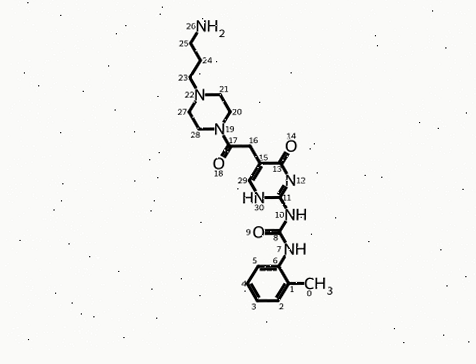 Cc1ccccc1NC(=O)Nc1nc(=O)c(CC(=O)N2CCN(CCCN)CC2)c[nH]1